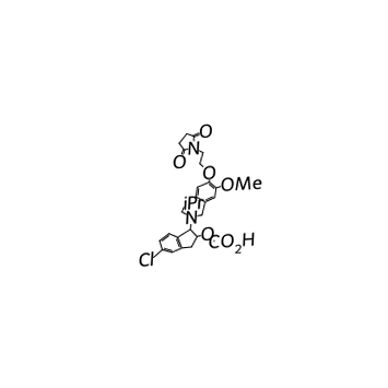 COc1cc(CN(CC(C)C)C2c3ccc(Cl)cc3CC2OC(=O)O)ccc1OCCN1C(=O)CCC1=O